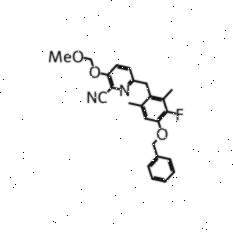 COCOc1ccc(Cc2c(C)cc(OCc3ccccc3)c(F)c2C)nc1C#N